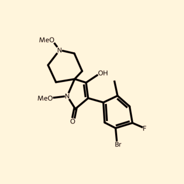 CON1CCC2(CC1)C(O)=C(c1cc(Br)c(F)cc1C)C(=O)N2OC